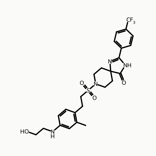 Cc1cc(NCCO)ccc1CCS(=O)(=O)N1CCC2(CC1)N=C(c1ccc(C(F)(F)F)cc1)NC2=O